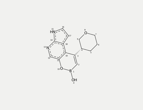 OB1C=C([C@H]2CCCOC2)c2c(cnc3[nH]ccc23)O1